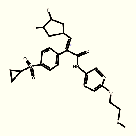 CSCCOc1cnc(NC(=O)/C(=C/C2CC(F)C(F)C2)c2ccc(S(=O)(=O)C3CC3)cc2)cn1